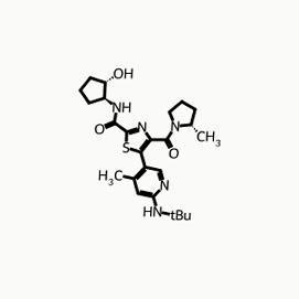 Cc1cc(NC(C)(C)C)ncc1-c1sc(C(=O)N[C@H]2CCC[C@@H]2O)nc1C(=O)N1CCC[C@@H]1C